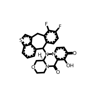 O=C1c2c(O)c(=O)ccn2N(C2c3ccc(F)c(F)c3Cc3csc4cccc2c34)[C@@H]2COCCN12